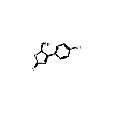 CCCCCCCC1OC(=O)C=C1c1ccc(O)cc1